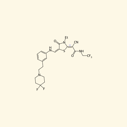 CCn1c(=O)c(=CNc2cccc(CCN3CCC(F)(F)CC3)c2)s/c1=C(/C#N)C(=O)NCC(F)(F)F